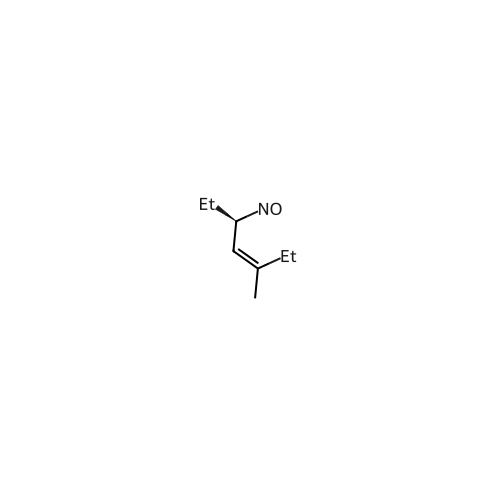 CC/C(C)=C\[C@@H](CC)N=O